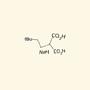 CC(C)(C)CCC(C(=O)O)C(=O)O.[NaH]